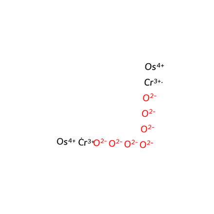 [Cr+3].[Cr+3].[O-2].[O-2].[O-2].[O-2].[O-2].[O-2].[O-2].[Os+4].[Os+4]